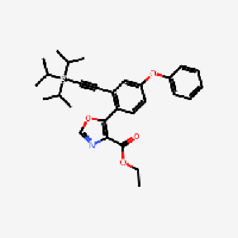 CCOC(=O)c1ncoc1-c1ccc(Oc2ccccc2)cc1C#C[Si](C(C)C)(C(C)C)C(C)C